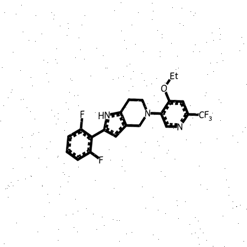 CCOc1cc(C(F)(F)F)ncc1N1CCc2[nH]c(-c3c(F)cccc3F)cc2C1